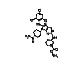 COC(=O)N1CCCC(Nc2ncc3nc(Nc4c(Cl)cc(Cl)cc4Cl)n([C@H]4CC[C@@H](C(N)=O)CC4)c3n2)C1